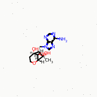 C[C@]1(O)[C@@H]2OCC[C@](O)([C@@H]2O)[C@@H]1Cn1cnc2c(N)ncnc21